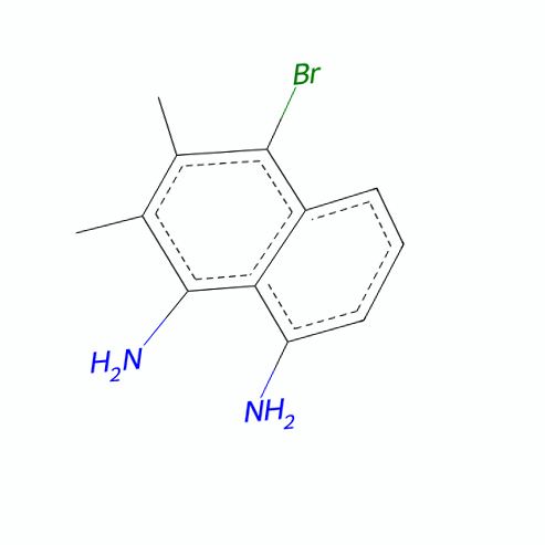 Cc1c(C)c(N)c2c(N)cccc2c1Br